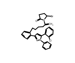 C=C(CCCCc1ccccc1-c1cc(-c2ccccc2Cl)n(-c2ccccc2)n1)N1C(=O)CCC1Br